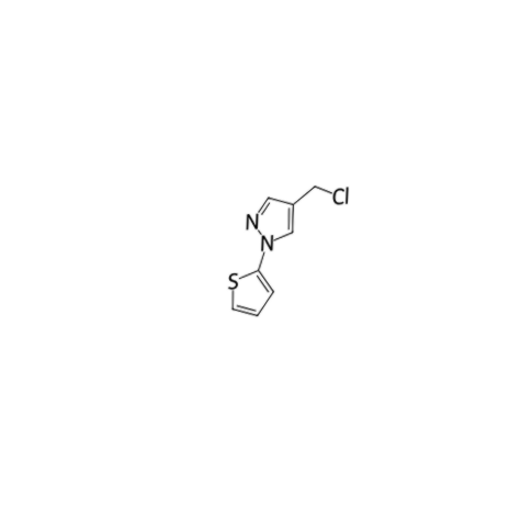 ClCc1cnn(-c2cccs2)c1